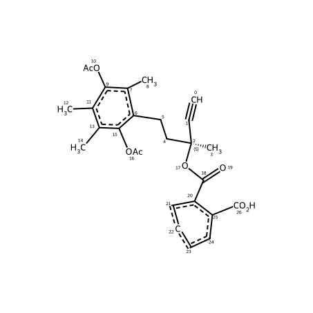 C#C[C@](C)(CCc1c(C)c(OC(C)=O)c(C)c(C)c1OC(C)=O)OC(=O)c1ccccc1C(=O)O